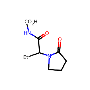 CCC(C(=O)NC(=O)O)N1CCCC1=O